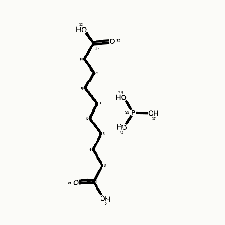 O=C(O)CCCCCCCCC(=O)O.OP(O)O